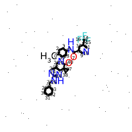 Cc1ccc(NC(=O)c2cncc(C(F)(F)F)c2)cc1N1Cc2cnc(NCc3ccccc3)nc2C2(CC2)C1=O